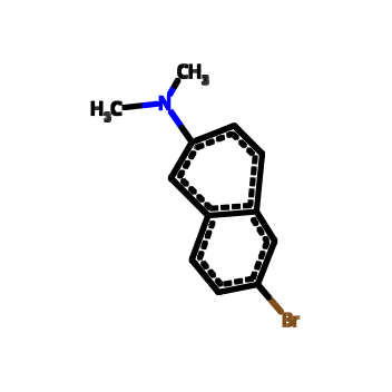 CN(C)c1ccc2cc(Br)ccc2c1